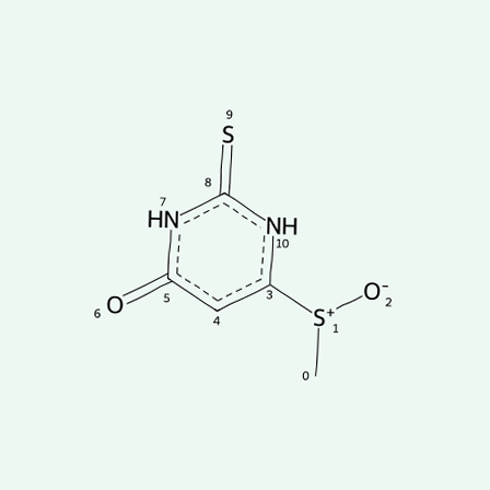 C[S+]([O-])c1cc(=O)[nH]c(=S)[nH]1